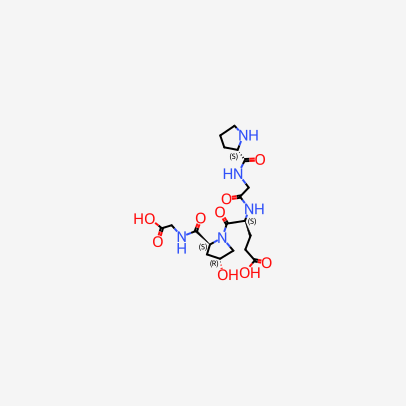 O=C(O)CC[C@H](NC(=O)CNC(=O)[C@@H]1CCCN1)C(=O)N1C[C@H](O)C[C@H]1C(=O)NCC(=O)O